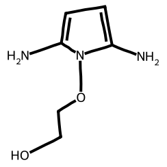 Nc1ccc(N)n1OCCO